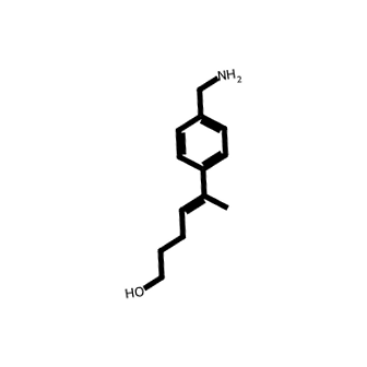 C/C(=C\CCCO)c1ccc(CN)cc1